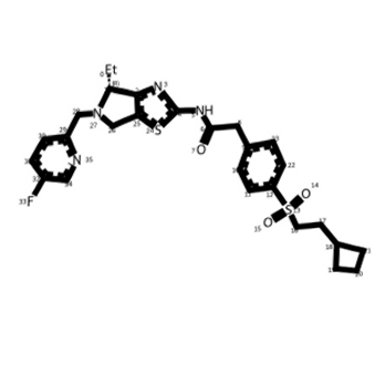 CC[C@@H]1c2nc(NC(=O)Cc3ccc(S(=O)(=O)CCC4CCC4)cc3)sc2CN1Cc1ccc(F)cn1